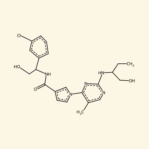 CCC(CO)Nc1ncc(C)c(-n2ccc(C(=O)NC(CO)c3cccc(Cl)c3)c2)n1